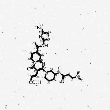 CN(C)CCC(=O)NC1CCCN(c2nc3cc(C(=O)Nc4nc(C(C)(C)C)cs4)ccn3c(=O)c2C=CC(=O)O)C1